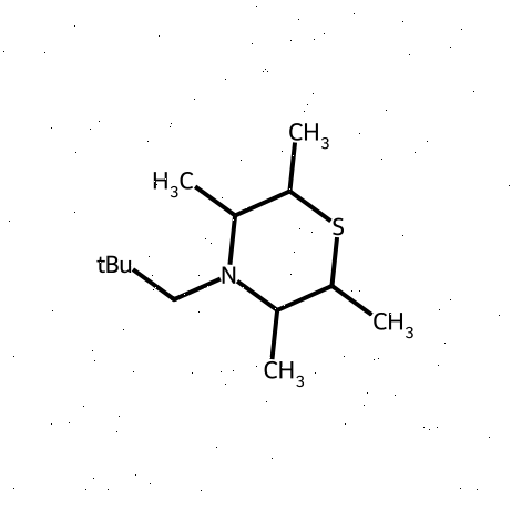 CC1SC(C)C(C)N(CC(C)(C)C)C1C